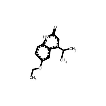 CCOc1ccc2[nH]c(=O)cc(C(C)C)c2c1